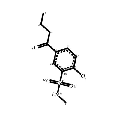 CCCC(=O)c1ccc(Cl)c(S(=O)(=O)NC)c1